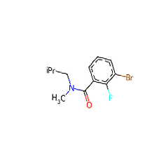 CC(C)CN(C)C(=O)c1cccc(Br)c1F